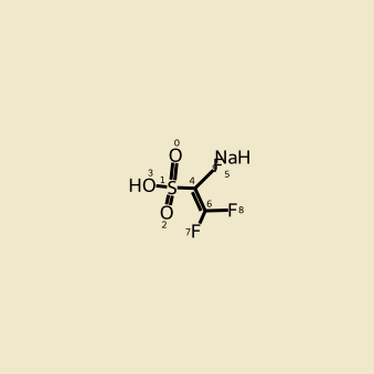 O=S(=O)(O)C(F)=C(F)F.[NaH]